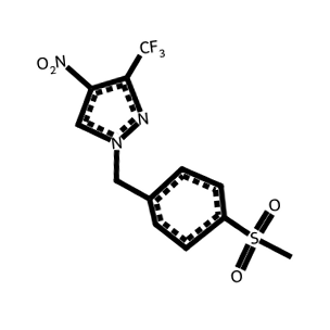 CS(=O)(=O)c1ccc(Cn2cc([N+](=O)[O-])c(C(F)(F)F)n2)cc1